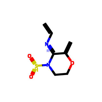 C=C/N=C1\C(=C)OCCN1[SH](=O)=O